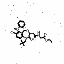 CCOC(=O)CNC(=O)C[C@@H]1O[C@@H](c2ccccc2OC)c2cc(Cl)ccc2N(CC(C)(C)C)C1=O